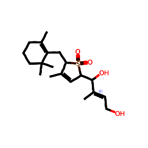 CC1=CC(C(O)/C(C)=C/CO)S(=O)(=O)C1CC1=C(C)CCCC1(C)C